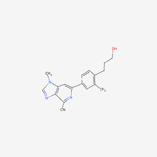 Cc1cc(-c2cc3c(ncn3C)c(C#N)n2)ccc1CCCO